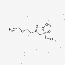 CCOCCC(=O)CP(=O)(OC)OC